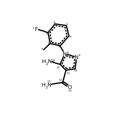 Cc1c(F)cccc1-n1ncc(C(N)=O)c1N